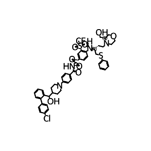 O=C(NS(=O)(=O)c1ccc(N[C@H](CCN2CCOC[C@@H]2CO)CSc2ccccc2)c(S(=O)(=O)C(F)(F)F)c1)c1ccc(N2CCC(C(O)c3ccccc3-c3ccc(Cl)cc3)CC2)cc1